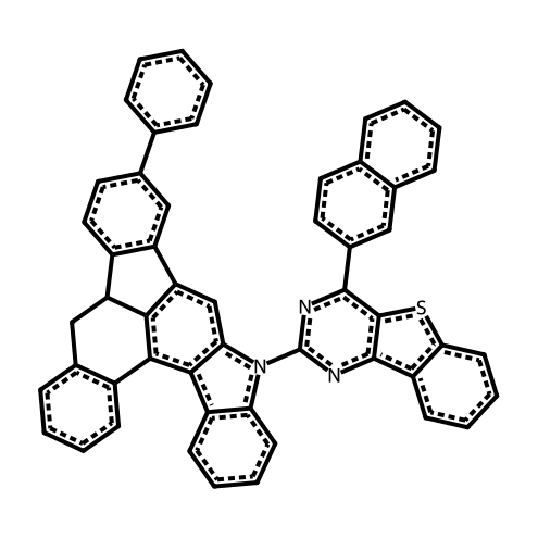 c1ccc(-c2ccc3c(c2)-c2cc4c(c5c2C3Cc2ccccc2-5)c2ccccc2n4-c2nc(-c3ccc4ccccc4c3)c3sc4ccccc4c3n2)cc1